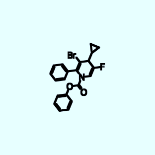 O=C(Oc1ccccc1)N1C=C(F)C(C2CC2)C(Br)=C1c1ccccc1